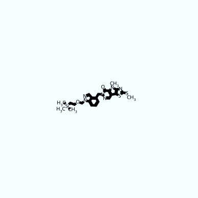 CSc1nc2c(s1)c1cnn(Cc3cccc4c3cnn4COCC[Si](C)(C)C)c(=O)c1n2C